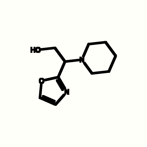 OCC(c1ncco1)N1CCCCC1